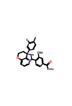 COC(=O)c1ccc(C(=O)N[C@]2(c3ccc(C)c(F)c3)CCOc3cccnc32)c(OC)c1